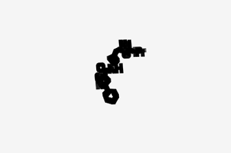 CC(C)c1nnc(CC2CC(NC(=O)c3cc(-c4ccccc4)no3)C2)o1